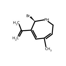 C=C(C)C1=CC(C)=CCP[C@@H]1Br